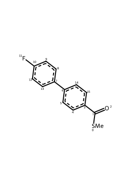 CSC(=O)c1ccc(-c2ccc(F)cc2)cc1